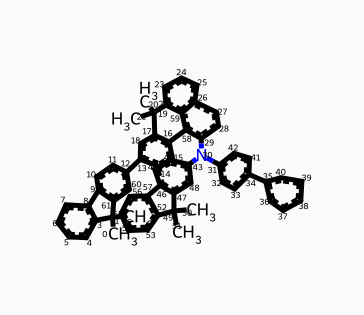 CC1(C)c2ccccc2-c2ccc(-c3ccc4c(c3)C(C)(C)c3cccc5ccc(N(c6ccc(-c7ccccc7)cc6)c6ccc7c(c6)C(C)(C)c6ccccc6-7)c-4c35)cc21